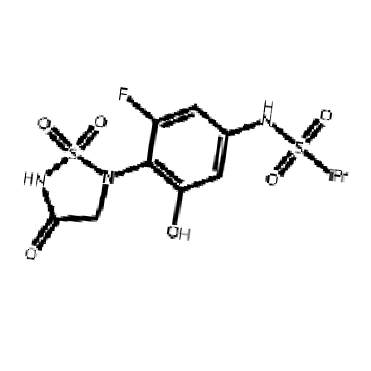 CC(C)S(=O)(=O)Nc1cc(O)c(N2CC(=O)NS2(=O)=O)c(F)c1